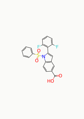 O=C(O)c1ccc2c(c1)cc(-c1c(F)cccc1F)n2S(=O)(=O)c1ccccc1